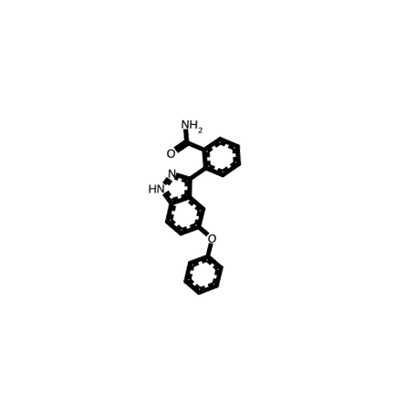 NC(=O)c1ccccc1-c1n[nH]c2ccc(Oc3ccccc3)cc12